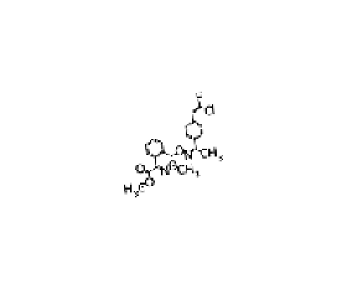 CO/N=C(/C(=O)OC)c1ccccc1CON=C(C)c1ccc(C=C(F)Cl)cc1